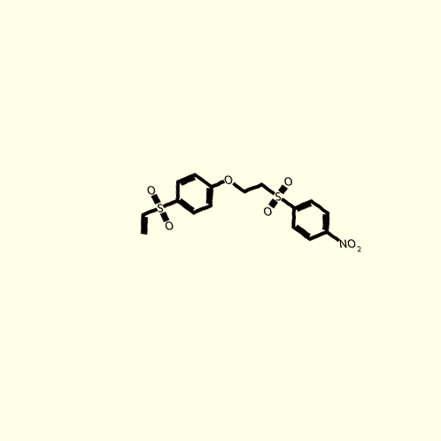 C=CS(=O)(=O)c1ccc(OCCS(=O)(=O)c2ccc([N+](=O)[O-])cc2)cc1